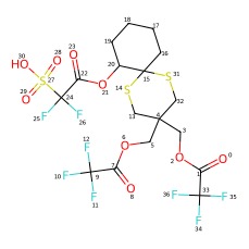 O=C(OCC1(COC(=O)C(F)(F)F)CSC2(CCCCC2OC(=O)C(F)(F)S(=O)(=O)O)SC1)C(F)(F)F